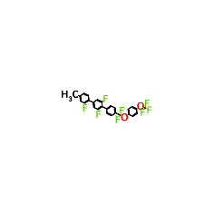 Cc1ccc(-c2cc(F)c(-c3ccc(C(F)(F)Oc4ccc(OC(F)(F)F)cc4)cc3)c(F)c2)c(F)c1